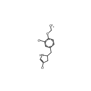 FC(F)(F)COc1ccc(CC2CC(Cl)=CN2)cc1Cl